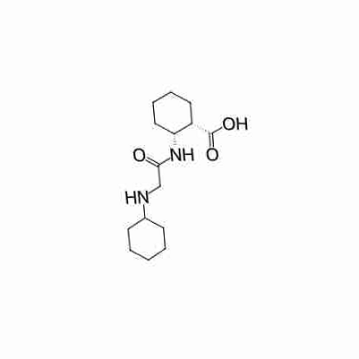 O=C(CNC1CCCCC1)N[C@@H]1CCCC[C@@H]1C(=O)O